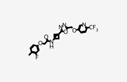 Cc1ccc(OCC(=O)NC23CC(c4nnc(COc5ccc(C(F)(F)F)nc5)o4)(C2)C3)cc1F